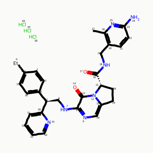 CCc1ccc([C@@H](CNc2ncc3n(c2=O)[C@H](C(=O)NCc2ccc(N)nc2C)CC3)c2ccccn2)cc1.Cl.Cl.Cl